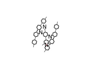 Cc1ccc(-c2ccc3c4ccc(-c5ccc(C)cc5)cc4n(-c4cc(-c5cc(C)nc(C)c5)c(-n5c6cc(-c7ccc(C)cc7)ccc6c6ccc(-c7ccc(C)cc7)cc65)cc4C#N)c3c2)cc1